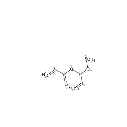 C=CC(=O)OC(C=C)OS(=O)(=O)O